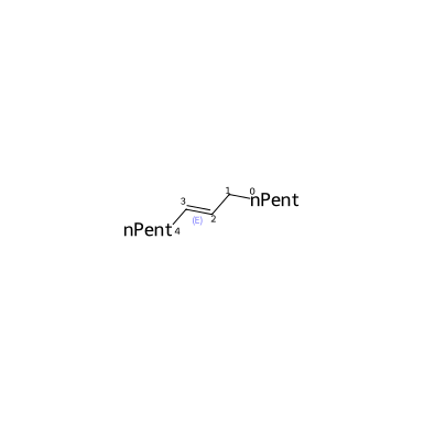 [CH2]CCCCC/C=C/CCCCC